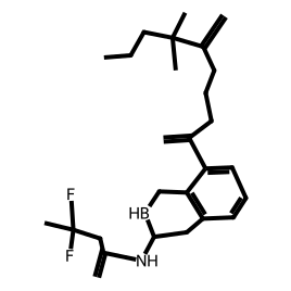 C=C(CC(C)(F)F)NC1BCc2c(cccc2C(=C)CCCC(=C)C(C)(C)CCC)C1